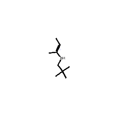 C/C=C(\C)BCC(C)(C)C